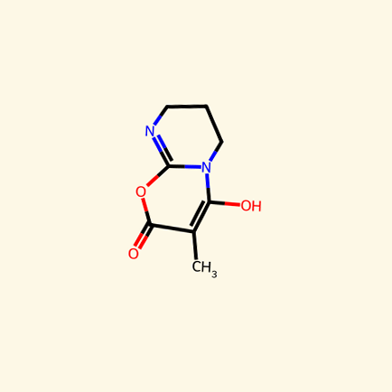 CC1=C(O)N2CCCN=C2OC1=O